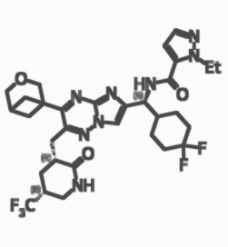 CCn1nccc1C(=O)N[C@H](c1cn2nc(C[C@H]3C[C@@H](C(F)(F)F)CNC3=O)c(C34COCC(C3)C4)nc2n1)C1CCC(F)(F)CC1